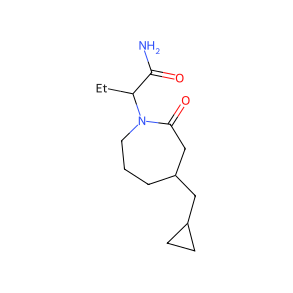 CCC(C(N)=O)N1CCCC(CC2CC2)CC1=O